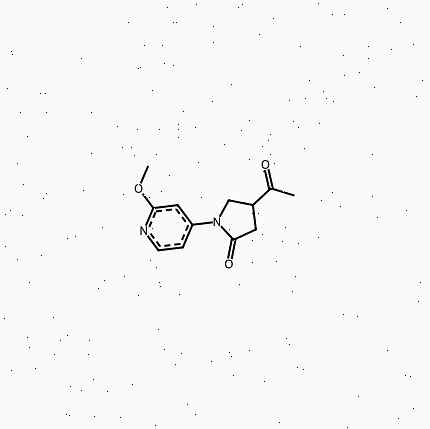 COc1cc(N2CC(C(C)=O)CC2=O)ccn1